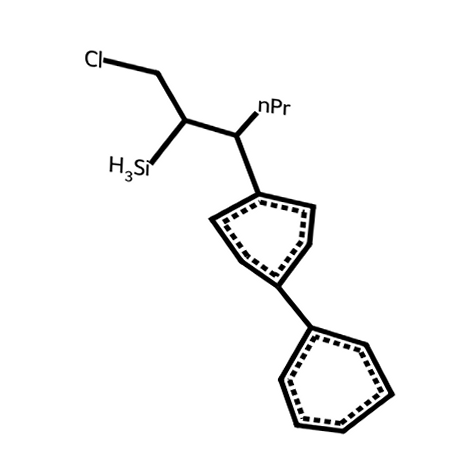 CCCC(c1ccc(-c2ccccc2)cc1)C([SiH3])CCl